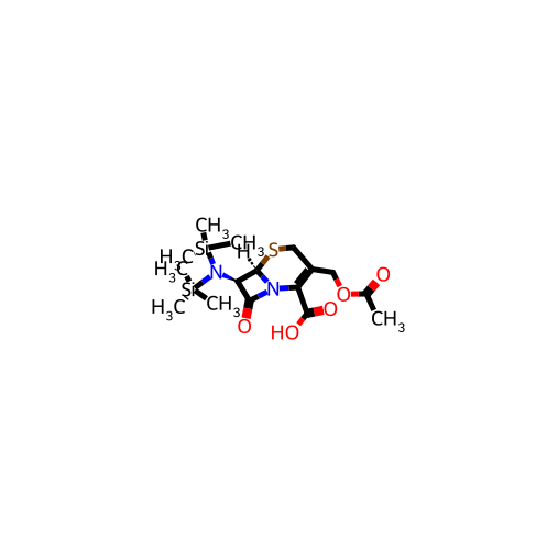 CC(=O)OCC1=C(C(=O)O)N2C(=O)[C@@H](N([Si](C)(C)C)[Si](C)(C)C)[C@H]2SC1